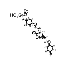 CCOC(Cc1ccc(OCCN(CCCCOc2ccc(F)cc2)C(=O)OC)cc1)C(=O)O